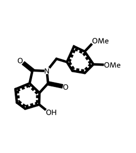 COc1ccc(CN2C(=O)c3cccc(O)c3C2=O)cc1OC